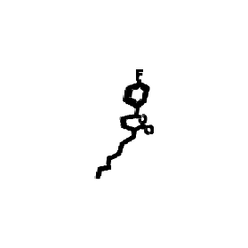 CCCCCCCC1CCC(c2ccc(F)cc2)OC1=O